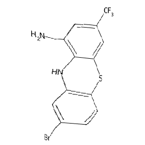 Nc1cc(C(F)(F)F)cc2c1Nc1cc(Br)ccc1S2